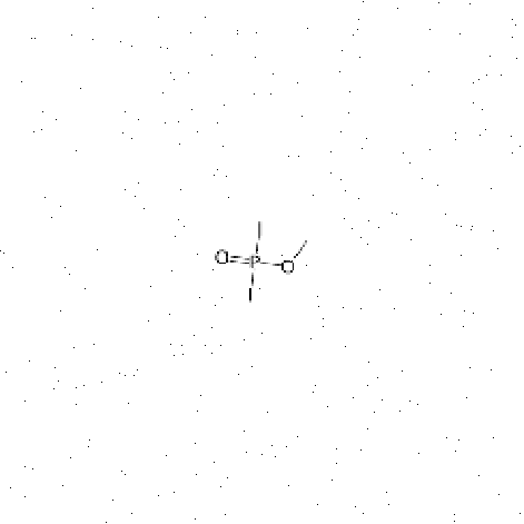 COP(=O)(I)I